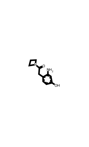 Nc1cc(O)ccc1CC(=O)N1CCC1